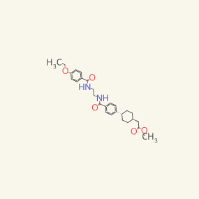 CCOc1ccc(C(=O)NCCNC(=O)c2ccc([C@H]3CC[C@H](CC(=O)OC)CC3)cc2)cc1